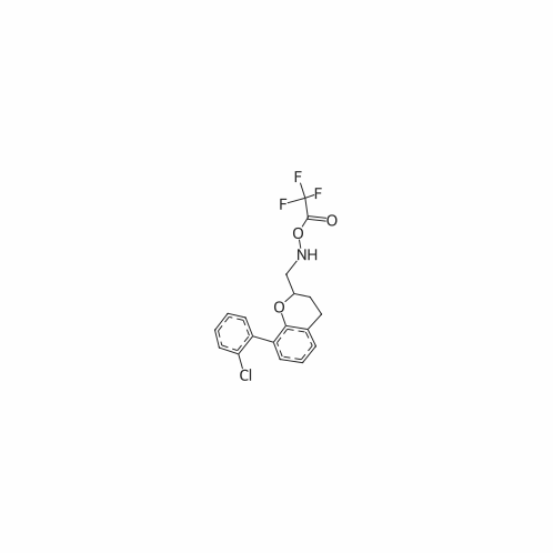 O=C(ONCC1CCc2cccc(-c3ccccc3Cl)c2O1)C(F)(F)F